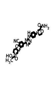 C[C@H](O)C(=O)N1CC[C@H](Oc2ccc(-c3ncnc(Nc4ccc(N5CCOC(C(N)=O)C5)cc4)n3)cc2C#N)[C@@H](F)C1